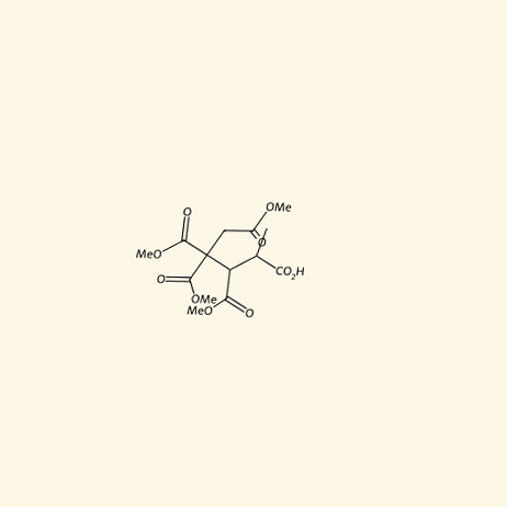 COC(=O)CC(C(=O)OC)(C(=O)OC)C(C(=O)OC)C(C)C(=O)O